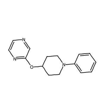 c1ccc(N2CCC(Oc3cnccn3)CC2)cc1